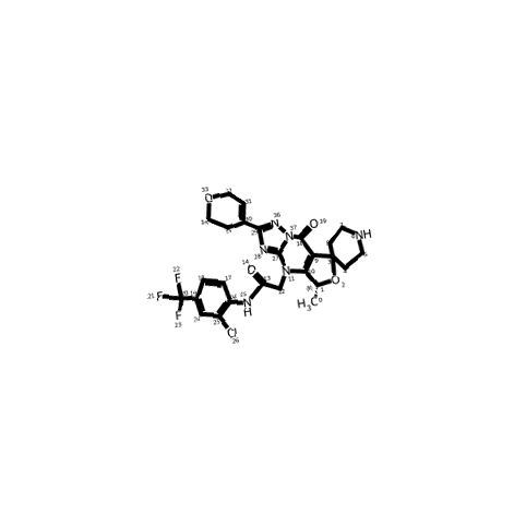 C[C@H]1OC2(CCNCC2)c2c1n(CC(=O)Nc1ccc(C(F)(F)F)cc1Cl)c1nc(C3=CCOCC3)nn1c2=O